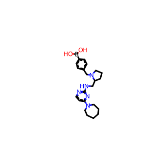 OB(O)c1ccc(CN2CCCC2CNc2nccc(N3CCCCCC3)n2)cc1